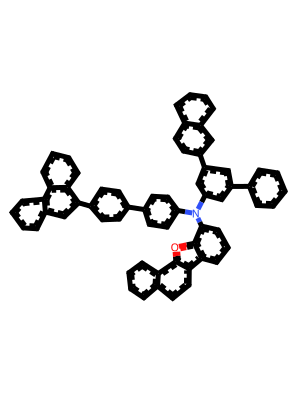 c1ccc(-c2cc(-c3ccc4ccccc4c3)cc(N(c3ccc(-c4ccc(-c5cc6ccccc6c6ccccc56)cc4)cc3)c3cccc4c3oc3c5ccccc5ccc43)c2)cc1